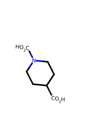 O=C(O)C1CCN(C(=O)O)CC1